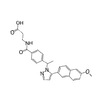 COc1ccc2cc(-c3ccnn3C(C)c3ccc(C(=O)NCCC(=O)O)cc3)ccc2c1